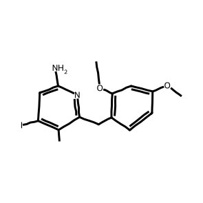 COc1ccc(Cc2nc(N)cc(I)c2C)c(OC)c1